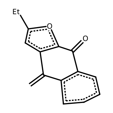 C=C1c2ccccc2C(=O)c2oc(CC)cc21